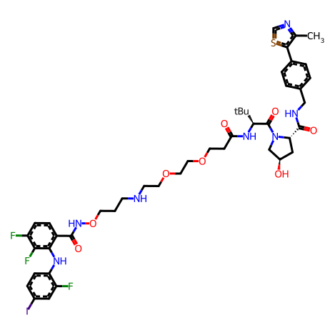 Cc1ncsc1-c1ccc(CNC(=O)[C@@H]2C[C@@H](O)CN2C(=O)[C@@H](NC(=O)CCOCCOCCNCCCONC(=O)c2ccc(F)c(F)c2Nc2ccc(I)cc2F)C(C)(C)C)cc1